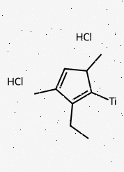 CCC1=[C]([Ti])C(C)C=C1C.Cl.Cl